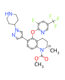 COC(=O)N1c2ccc(-c3cnn(C4CCNCC4)c3)c(Oc3ncc(C(F)(F)F)cc3F)c2CC[C@@H]1C